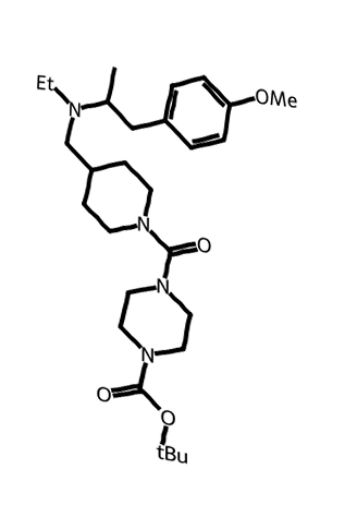 CCN(CC1CCN(C(=O)N2CCN(C(=O)OC(C)(C)C)CC2)CC1)C(C)Cc1ccc(OC)cc1